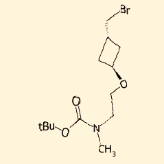 CN(CCO[C@H]1C[C@H](CBr)C1)C(=O)OC(C)(C)C